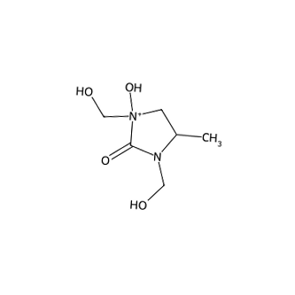 CC1C[N+](O)(CO)C(=O)N1CO